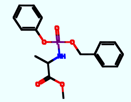 COC(=O)C(C)NP(=O)(OCc1ccccc1)Oc1ccccc1